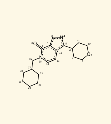 O=c1c2cnc(C3CCOCC3)n2ccn1CC1CCCCC1